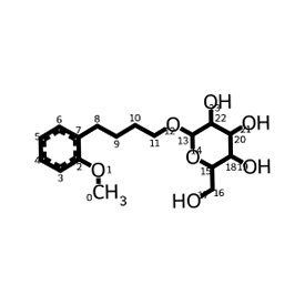 COc1ccccc1CCCCOC1OC(CO)C(O)C(O)C1O